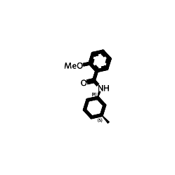 COc1ccccc1C(=O)N[C@@H]1CCC[C@H](C)C1